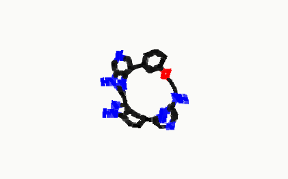 c1cc2cc(c1)-c1cncc3[nH]c(nc13)-c1n[nH]c3ccc(cc13)-c1cncc(n1)NCCO2